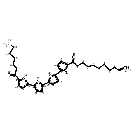 C=CCCCCCCCCC(=O)c1ccc(-c2ccc(-c3ccc(-c4ccc(C(=O)CCCCCC)s4)s3)s2)s1